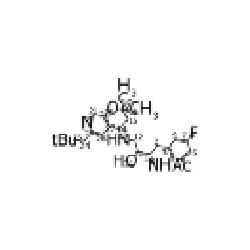 CC(=O)N[C@@H](Cc1cccc(F)c1)[C@H](O)CN[C@H]1CC(C)(C)Oc2cnc(CC(C)(C)C)cc21